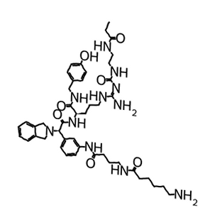 CCC(=O)NCCNC(=O)/N=C(/N)NCCC[C@@H](NC(=O)[C@@H](c1cccc(NC(=O)CCCNC(=O)CCCCCN)c1)N1Cc2ccccc2C1)C(=O)NCc1ccc(O)cc1